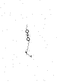 CCCCc1ccc(N=Nc2ccc(OCCCCCOC(=O)C(C)CCC(C)=O)cc2)cc1